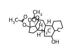 CC(=O)OC1(OC(C)=O)CC[C@H]2[C@@H]3CC(O)C4CCCC[C@]4(C)[C@@H]3CC[C@@]21C